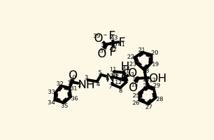 O=C(NCCC[N+]12CCC(CC1)[C@@H](OC(=O)C(O)(c1ccccc1)c1ccccc1)C2)c1ccccc1.O=C([O-])C(F)(F)F